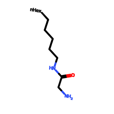 CCCCCCCCCCCNC(=O)CN